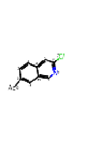 CC(=O)c1ccc2cc(Cl)ncc2c1